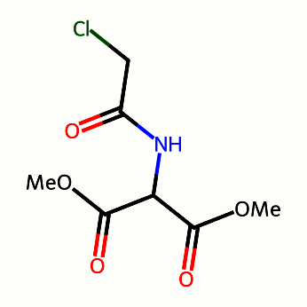 COC(=O)C(NC(=O)CCl)C(=O)OC